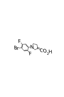 O=C(O)[C@H]1CCN(c2cc(F)c(Br)cc2F)C1